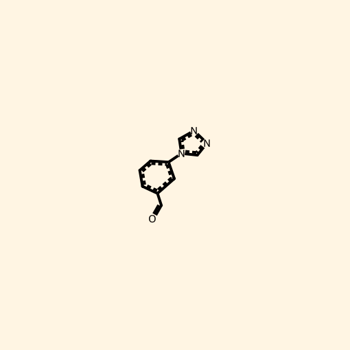 O=Cc1cccc(-n2cnnc2)c1